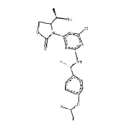 C[C@H](Nc1nc(Cl)cc(N2C(=O)OCC2[C@@H](C)O)n1)c1ccc(OC(F)F)cc1